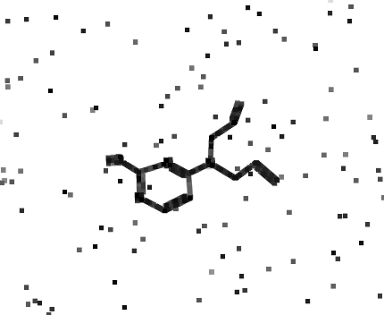 C=CCN(CC=C)c1ccnc(O)n1